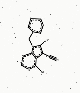 N#Cc1c(Br)n(Cc2ccccc2)c2ncnc(N)c12